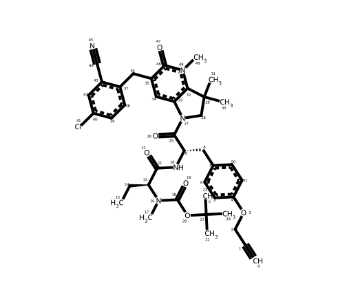 C#CCOc1ccc(C[C@H](NC(=O)[C@H](CC)N(C)C(=O)OC(C)(C)C)C(=O)N2CC(C)(C)c3c2cc(Cc2ccc(Cl)cc2C#N)c(=O)n3C)cc1